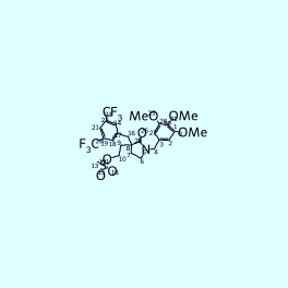 COc1cc(CN2CCC(CCOS(C)(=O)=O)(Cc3cc(C(F)(F)F)cc(C(F)(F)F)c3)C2=O)cc(OC)c1OC